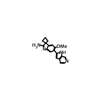 COc1cc2c(cc1-c1cc3ccncc3[nH]1)N=C(N)C21CCC1